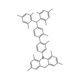 Cc1cc(C)c(C(c2ccc(-c3ccc(B4c5c(C)cc(C)cc5Cc5cc(C)cc(C)c54)cc3C)c(C)c2)c2c(C)cc(C)cc2C)c(C)c1